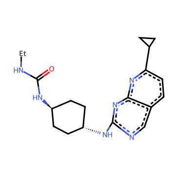 CCNC(=O)N[C@H]1CC[C@H](Nc2ncc3ccc(C4CC4)nc3n2)CC1